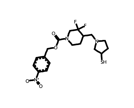 O=C(OCc1ccc([N+](=O)[O-])cc1)N1CCC(CN2CCC(S)C2)C(F)(F)C1